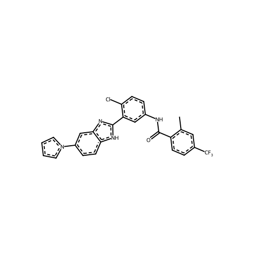 Cc1cc(C(F)(F)F)ccc1C(=O)Nc1ccc(Cl)c(-c2nc3cc(-n4cccc4)ccc3[nH]2)c1